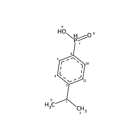 CC(C)c1ccc([PH](=O)O)cc1